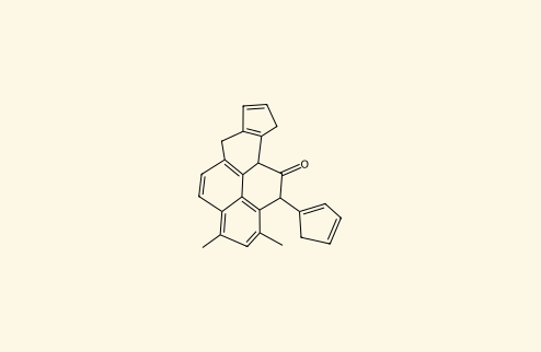 Cc1cc(C)c2ccc3c4c2c1C(C1=CC=CC1)C(=O)C4C1=C(C=CC1)C3